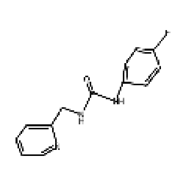 O=C(NCc1ccccn1)Nc1ccc(F)cc1